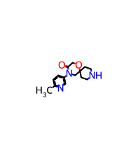 Cc1ccc(N2CC3(CCNCC3)OCC2=O)cn1